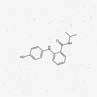 CC(C)NC(=O)c1ccccc1Nc1ccc(O)cc1